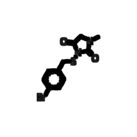 CN1CC(=O)N(SCc2ccc(Br)cc2)C1=O